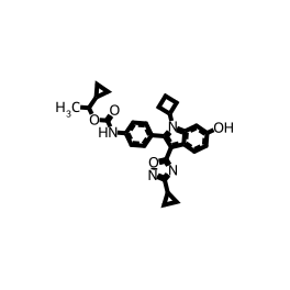 CC(OC(=O)Nc1ccc(-c2c(-c3nc(C4CC4)no3)c3ccc(O)cc3n2C2CCC2)cc1)C1CC1